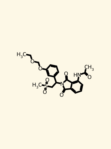 CCOCOc1cccc(C(CS(C)(=O)=O)N2C(=O)c3cccc(NC(C)=O)c3C2=O)c1